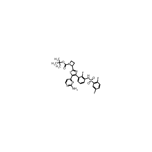 CC(C)(C)OC(=O)N1CCC1c1nc(-c2cccc(NS(=O)(=O)c3cc(F)ccc3F)c2F)c(-c2ccnc(N)n2)s1